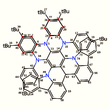 CC(C)(C)c1ccc(N(c2ccc(C(C)(C)C)cc2)c2c(N(c3ccc(C(C)(C)C)cc3)c3ccc(C(C)(C)C)cc3)c3c4c(c2N(c2ccc(C(C)(C)C)cc2)c2ccc(C(C)(C)C)cc2)-n2c5ccccc5c5cccc(c52)C4c2cccc4c5ccccc5n-3c24)cc1